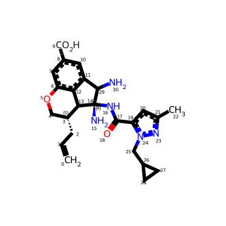 C=CC[C@@H]1COc2cc(C(=O)O)cc3c2C1[C@@](N)(NC(=O)c1cc(C)nn1CC1CC1)C3N